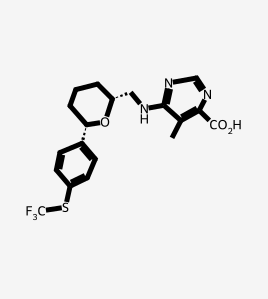 Cc1c(NC[C@H]2CCC[C@@H](c3ccc(SC(F)(F)F)cc3)O2)ncnc1C(=O)O